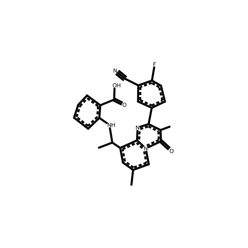 Cc1cc(C(C)Nc2ccccc2C(=O)O)c2nc(-c3ccc(F)c(C#N)c3)c(C)c(=O)n2c1